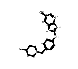 CC(C)(C)C1CCN(Cc2ccc(Oc3nc4ncc(Cl)cc4s3)cc2)CC1